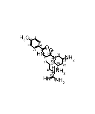 Cc1ccc(C(=O)N[C@@H](CCCNC(=N)N)C(=O)N2C[C@H](N)C[C@H](N)C2)cc1